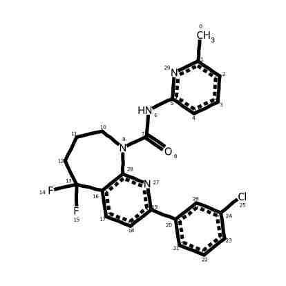 Cc1cccc(NC(=O)N2CCCC(F)(F)c3ccc(-c4cccc(Cl)c4)nc32)n1